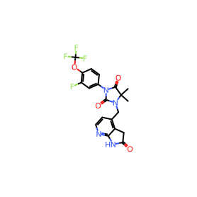 CC1(C)C(=O)N(c2ccc(OC(F)(F)F)c(F)c2)C(=O)N1Cc1ccnc2c1CC(=O)N2